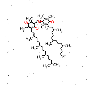 CC(C)=CCC/C(C)=C/CC/C(C)=C/CC/C(C)=C/CC1=C(C)C(=O)C(C)=C(C)C1=O.CC1=C(C)C(=O)C(CCC(C)CCCC(C)CCCC(C)CCCC(C)C)=C(C)C1=O